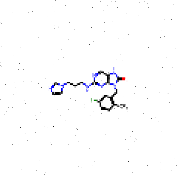 O=c1[nH]c2cnc(NCCCn3ccnc3)nc2n1Cc1cc(F)ccc1C(F)(F)F